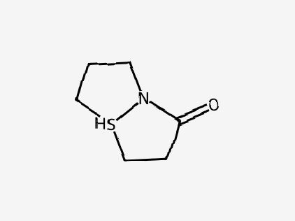 O=C1CC[SH]2CCCN12